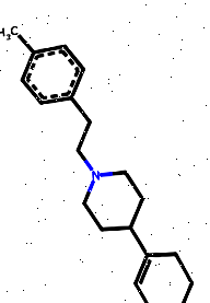 Cc1ccc(CCN2CCC(C3=CC=CCC3)CC2)cc1